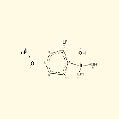 CCCOc1ccc([B-](O)(O)O)nc1.[Li+]